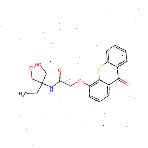 CCC(CO)(CO)NC(=O)COc1cccc2c(=O)c3ccccc3sc12